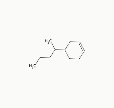 CCCC(C)C1CC=CCC1